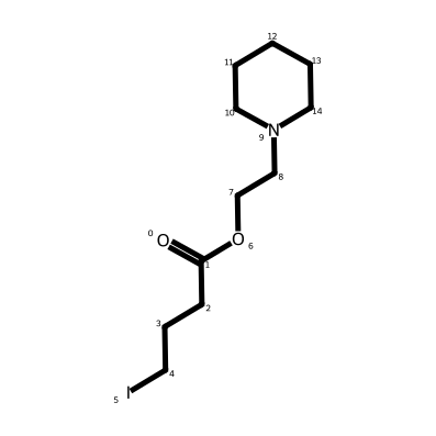 O=C(CCCI)OCCN1CCCCC1